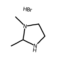 Br.CC1NCCN1C